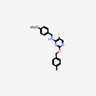 COc1ccc(CNc2nc(OCc3ccc(C)cc3)ncc2F)cc1